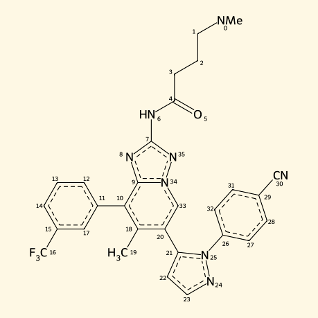 CNCCCC(=O)Nc1nc2c(-c3cccc(C(F)(F)F)c3)c(C)c(-c3ccnn3-c3ccc(C#N)cc3)cn2n1